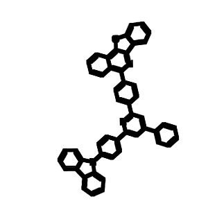 c1ccc(-c2cc(-c3ccc(-c4nc5c6ccccc6oc5c5ccccc45)cc3)nc(-c3ccc(-n4c5ccccc5c5ccccc54)cc3)c2)cc1